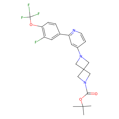 CC(C)(C)OC(=O)N1CC2(C1)CN(c1ccnc(-c3ccc(OC(F)(F)F)c(F)c3)c1)C2